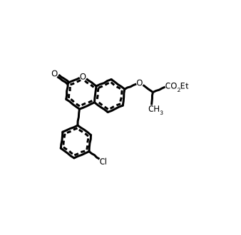 CCOC(=O)C(C)Oc1ccc2c(-c3cccc(Cl)c3)cc(=O)oc2c1